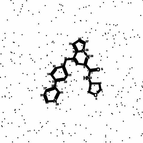 O=C(NC1CCOC1)c1cc(Cc2ccc(-c3cccnc3)cc2)c2cccn2n1